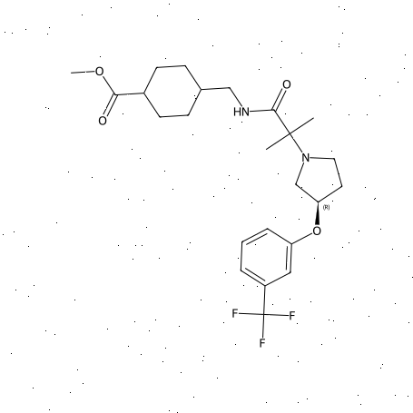 COC(=O)C1CCC(CNC(=O)C(C)(C)N2CC[C@@H](Oc3cccc(C(F)(F)F)c3)C2)CC1